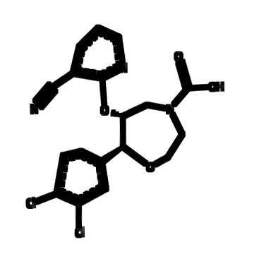 N#Cc1cccnc1O[C@@H]1CN(C(=O)O)CCO[C@H]1c1ccc(Cl)c(Cl)c1